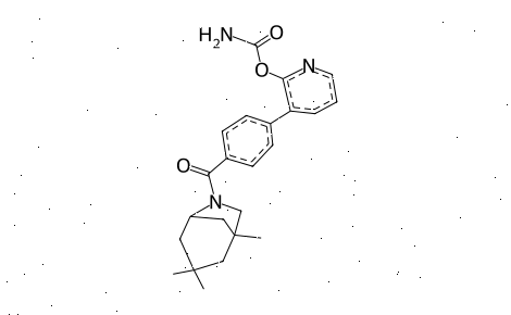 CC1(C)CC2CC(C)(CN2C(=O)c2ccc(-c3cccnc3OC(N)=O)cc2)C1